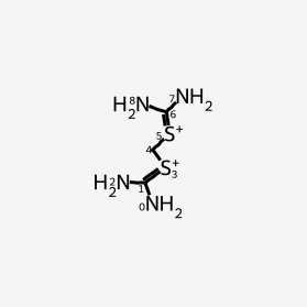 NC(N)=[S+]C[S+]=C(N)N